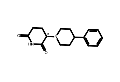 O=C1CC[C@@H](N2CCC(c3ccccc3)CC2)C(=O)N1